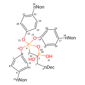 CCCCCCCCCCCCCP(Oc1ccc(CCCCCCCCC)cc1)(Oc1ccc(CCCCCCCCC)cc1)(Oc1ccc(CCCCCCCCC)cc1)OP(O)O